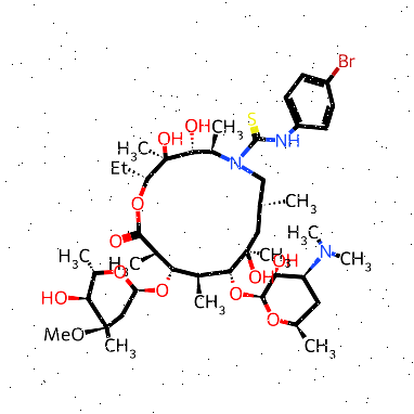 CC[C@H]1OC(=O)[C@H](C)[C@@H](O[C@H]2C[C@@](C)(OC)[C@@H](O)[C@H](C)O2)[C@H](C)[C@@H](O[C@@H]2O[C@H](C)C[C@H](N(C)C)[C@H]2O)[C@](C)(O)C[C@@H](C)CN(C(=S)Nc2ccc(Br)cc2)[C@H](C)[C@@H](O)[C@]1(C)O